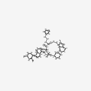 Cn1nc2cccc3c2c1CCCN(CCCn1ccnc1)C(=O)[C@@H]1C[C@@H](CN1c1ncnc2c1cnn2-c1ccc(F)cc1F)Oc1cccc-3c1